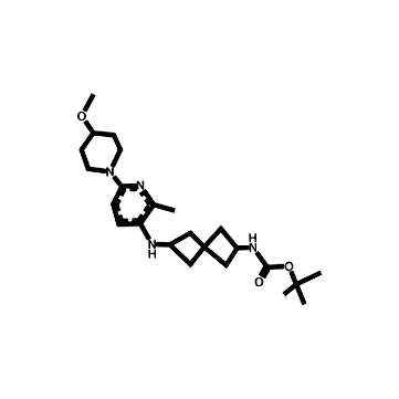 COC1CCN(c2ccc(NC3CC4(CC(NC(=O)OC(C)(C)C)C4)C3)c(C)n2)CC1